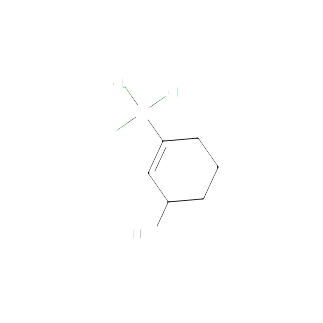 CC1C=C([Si](Cl)(Cl)Cl)CCC1